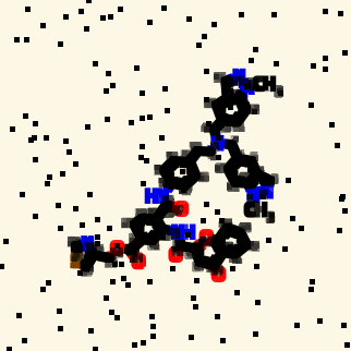 Cn1ncc2cc(CN(CCc3ccc(NC(=O)c4ccc(C(=O)OCc5cscn5)cc4NC(=O)c4cc(=O)c5ccccc5o4)cc3)Cc3ccc4c(cnn4C)c3)ccc21